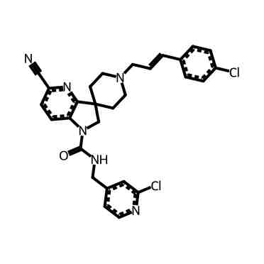 N#Cc1ccc2c(n1)C1(CCN(C/C=C/c3ccc(Cl)cc3)CC1)CN2C(=O)NCc1ccnc(Cl)c1